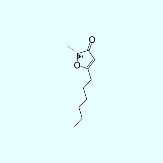 CCCCCCC1=CC(=O)[C@@H](C)O1